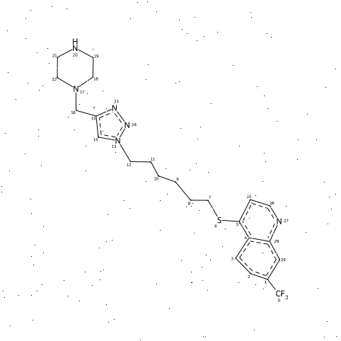 FC(F)(F)c1ccc2c(SCCCCCCn3cc(CN4CCNCC4)nn3)ccnc2c1